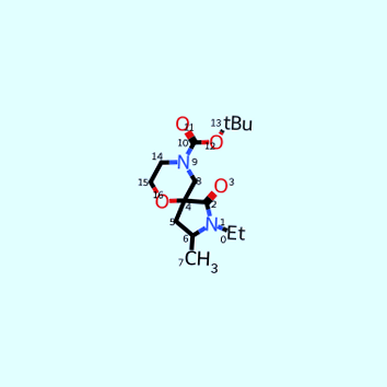 CCN1C(=O)C2(CC1C)CN(C(=O)OC(C)(C)C)CCO2